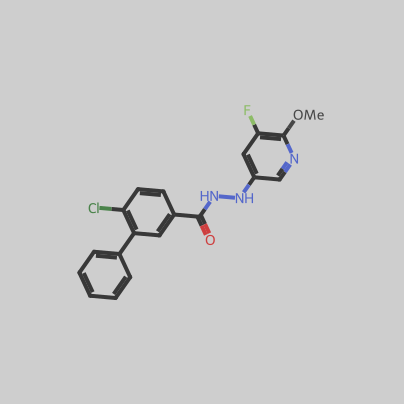 COc1ncc(NNC(=O)c2ccc(Cl)c(-c3ccccc3)c2)cc1F